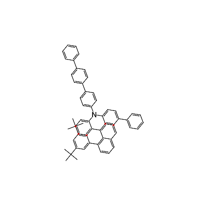 CC(C)(C)c1cc(-c2cccc3cccc(-c4ccccc4N(c4ccc(-c5ccccc5)cc4)c4ccc(-c5ccc(-c6ccccc6)cc5)cc4)c23)cc(C(C)(C)C)c1